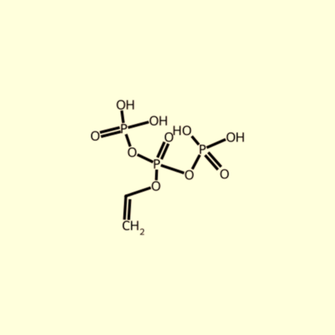 C=COP(=O)(OP(=O)(O)O)OP(=O)(O)O